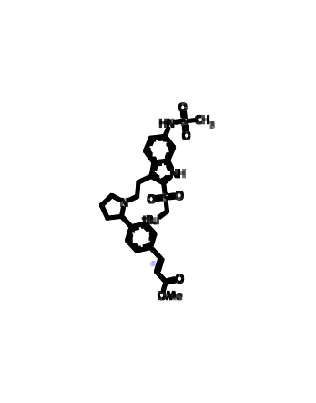 COC(=O)/C=C/c1ccc(C2CCCN2CCc2c(S(=O)(=O)CC(C)(C)C)[nH]c3cc(NS(C)(=O)=O)ccc23)cc1